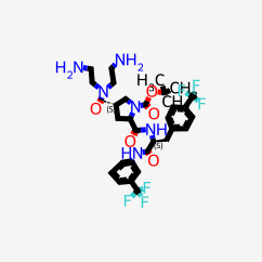 CC(C)(C)OC(=O)N1C[C@@H](C(=O)N(CCN)CCN)CC1C(=O)N[C@@H](Cc1ccc(C(F)(F)F)cc1)C(=O)Nc1cccc(C(F)(F)F)c1